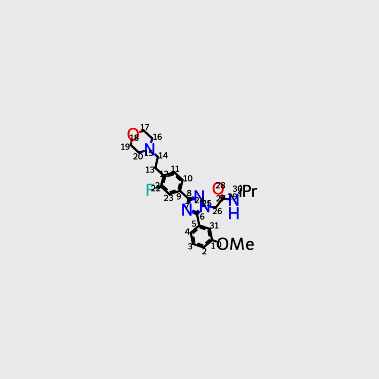 COc1cccc(-c2nc(-c3ccc(CCN4CCOCC4)c(F)c3)nn2CC(=O)NC(C)C)c1